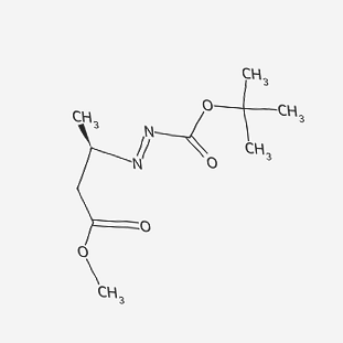 COC(=O)C[C@@H](C)N=NC(=O)OC(C)(C)C